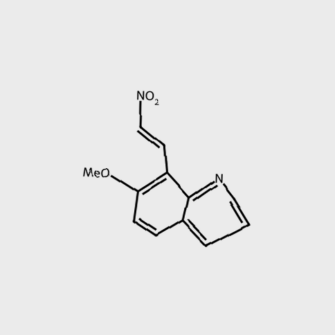 COc1ccc2cccnc2c1/C=C/[N+](=O)[O-]